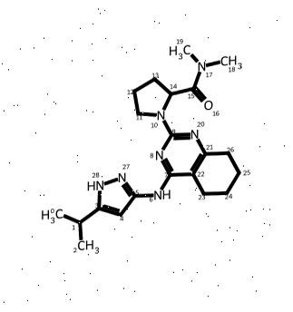 CC(C)c1cc(Nc2nc(N3CCCC3C(=O)N(C)C)nc3c2CCCC3)n[nH]1